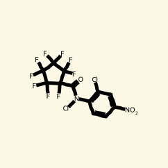 O=C(N(Cl)c1ccc([N+](=O)[O-])cc1Cl)C1(F)C(F)(F)C(F)(F)C(F)(F)C1(F)F